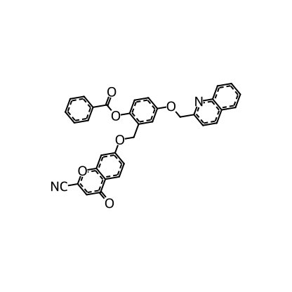 N#Cc1cc(=O)c2ccc(OCc3cc(OCc4ccc5ccccc5n4)ccc3OC(=O)c3ccccc3)cc2o1